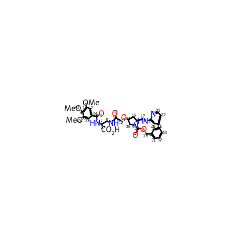 COc1cc(C(=O)NC(CNC(=O)COC2CC(CNc3ccccn3)N(C(=O)OCc3ccccc3)C2)C(=O)O)cc(OC)c1OC